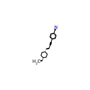 C=C[C@H]1CC[C@H](C=CC#Cc2ccc(C#N)cc2)CC1